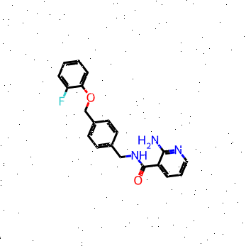 Nc1ncccc1C(=O)NCc1ccc(COc2ccccc2F)cc1